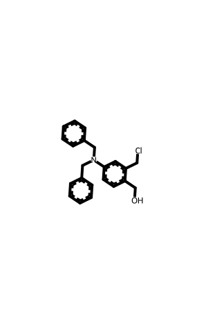 OCc1ccc(N(Cc2ccccc2)Cc2ccccc2)cc1CCl